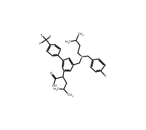 CC(C)CCN(Cc1ccc(F)cc1)Cc1cc(-c2ccc(C(F)(F)F)cc2)cc(C(CC(C)C)C(=O)O)c1